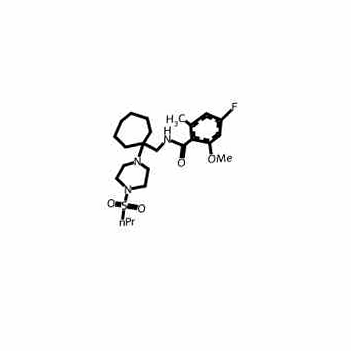 CCCS(=O)(=O)N1CCN(C2(CNC(=O)c3c(C)cc(F)cc3OC)CCCCCC2)CC1